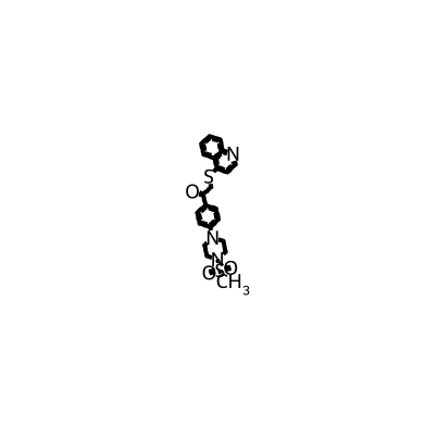 CS(=O)(=O)N1CCN(c2ccc(C(=O)CSc3ccnc4ccccc34)cc2)CC1